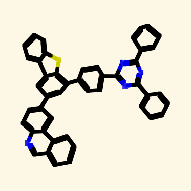 c1ccc(-c2nc(-c3ccccc3)nc(-c3ccc(-c4cc(-c5ccc6ncc7ccccc7c6c5)cc5c4sc4ccccc45)cc3)n2)cc1